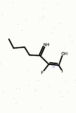 CCCCC(=N)/C(F)=C(\O)I